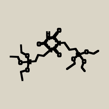 CCO[Si](CCCn1c(=O)[nH]c(=O)n(CCC[Si](OCC)(OCC)OCC)c1=O)(OCC)OCC